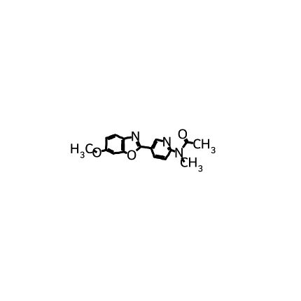 COc1ccc2nc(-c3ccc(N(C)C(C)=O)nc3)oc2c1